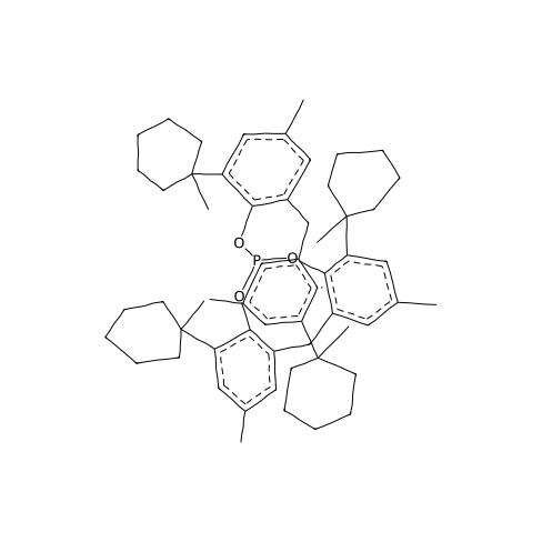 Cc1cc(Cc2cc(C)cc(C3(C)CCCCC3)c2OP2Oc3c(cc(C)cc3C3(C)CCCCC3)Cc3cc(C)cc(C4(C)CCCCC4)c3O2)[c]c(C2(C)CCCCC2)c1